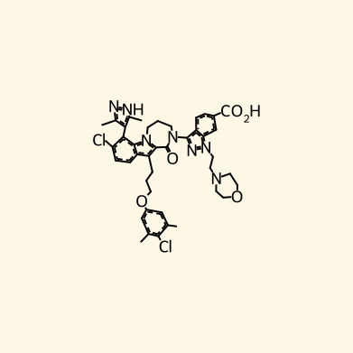 Cc1cc(OCCCc2c3n(c4c(-c5c(C)n[nH]c5C)c(Cl)ccc24)CCCN(c2nn(CCN4CCOCC4)c4cc(C(=O)O)ccc24)C3=O)cc(C)c1Cl